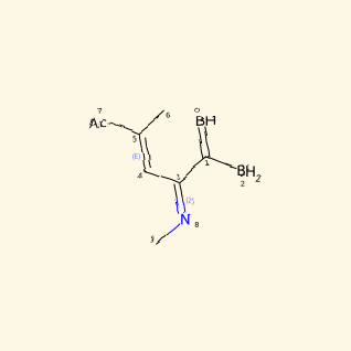 B=C(B)C(/C=C(\C)C(C)=O)=N/C